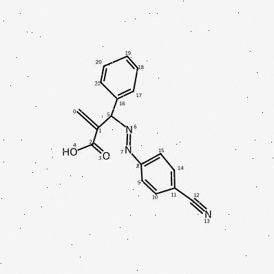 C=C(C(=O)O)C(N=Nc1ccc(C#N)cc1)c1ccccc1